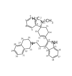 CN(C)C1(c2ccccc2)CC=C(c2[nH]c3ccccc3c2CCN2CCc3ccccc3C2)CC1